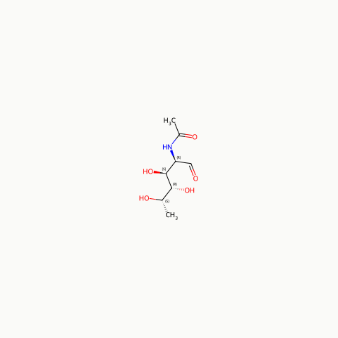 CC(=O)N[C@@H](C=O)[C@H](O)[C@H](O)[C@H](C)O